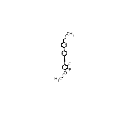 CCCCc1ccc(-c2ccc(C#Cc3ccc(OCCC)c(F)c3F)cc2)cc1